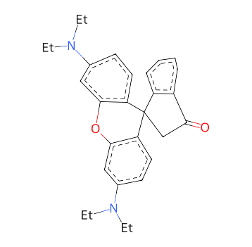 CCN(CC)c1ccc2c(c1)Oc1cc(N(CC)CC)ccc1C21CC(=O)c2ccccc21